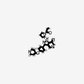 C=CC(=O)N1CCC[C@H]1Cn1nc(-c2ccc(Oc3ccncc3)cc2)c2cncc(Cl)c21